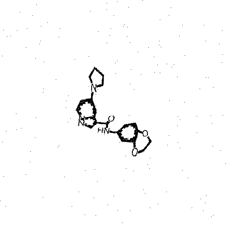 O=C(Nc1ccc2c(c1)OCCO2)c1cnn2ccc(N3CCCC3)cc12